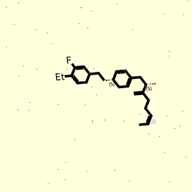 C=C(CC/C=C\C)[C@@H](C)CC1=CC[C@H](CCC2C=C(F)C(CC)=CC2)C=C1